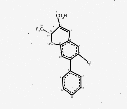 O=C(O)C1=Cc2cc(Cl)c(-c3ccccc3)cc2O[C@@H]1C(F)(F)F